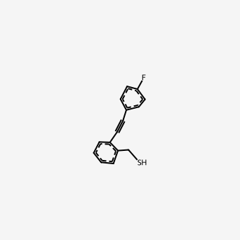 Fc1ccc(C#Cc2ccccc2CS)cc1